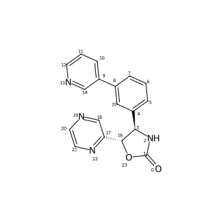 O=C1N[C@H](c2cccc(-c3cccnc3)c2)[C@@H](c2cnccn2)O1